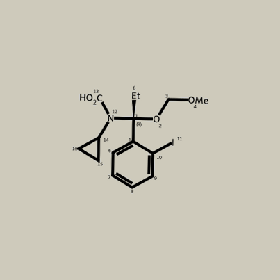 CC[C@@](OCOC)(c1ccccc1I)N(C(=O)O)C1CC1